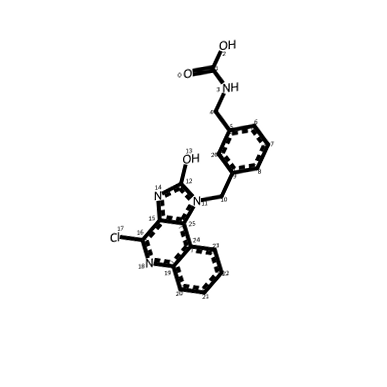 O=C(O)NCc1cccc(Cn2c(O)nc3c(Cl)nc4ccccc4c32)c1